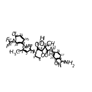 Cc1cc(N2CCOC(C(C)(O)C(=O)Nc3ccc4c(N)noc4c3)C2=O)nn1-c1ccc(=O)n(C(F)F)c1